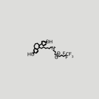 CN(CCCCCCC1=C(c2ccc(O)cc2)CCCc2cc(O)ccc21)CCCS(=O)(=O)CCCC(F)(F)C(F)(F)F